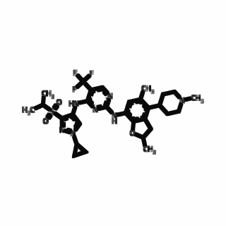 Cc1cc(Nc2ncc(C(F)(F)F)c(Nc3cn(C4CC4)nc3S(=O)(=O)C(C)C)n2)c2c(c1C1CCN(C)CC1)CC(C)O2